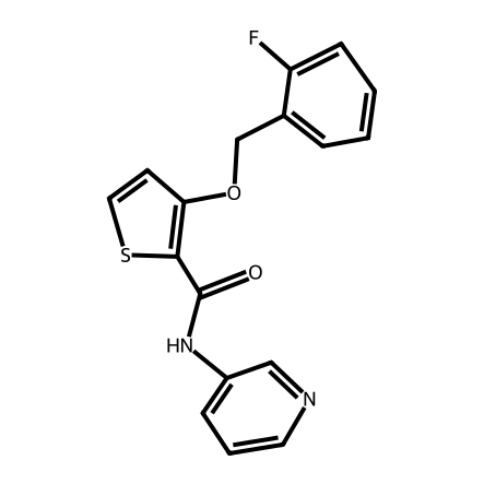 O=C(Nc1cccnc1)c1sccc1OCc1ccccc1F